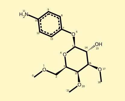 COC[C@H]1O[C@@H](Oc2ccc(N)cc2)[C@H](O)[C@@H](OC)[C@H]1OC